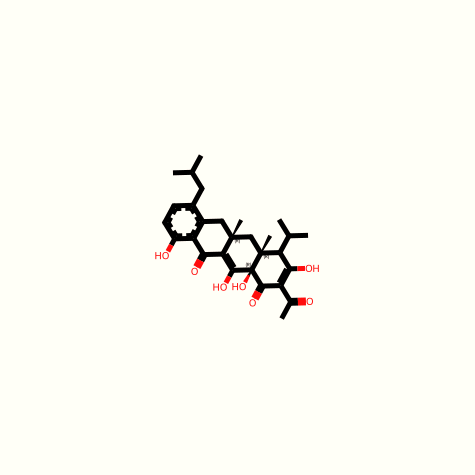 CC(=O)C1=C(O)C(C(C)C)[C@@]2(C)C[C@@]3(C)Cc4c(CC(C)C)ccc(O)c4C(=O)C3=C(O)[C@@]2(O)C1=O